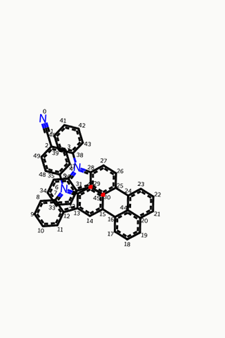 N#Cc1ccc(-n2c3ccccc3c3cc(-c4cccc5cccc(-c6ccc7c(c6)c6ccccc6n7-c6ccccc6)c45)ccc32)cc1